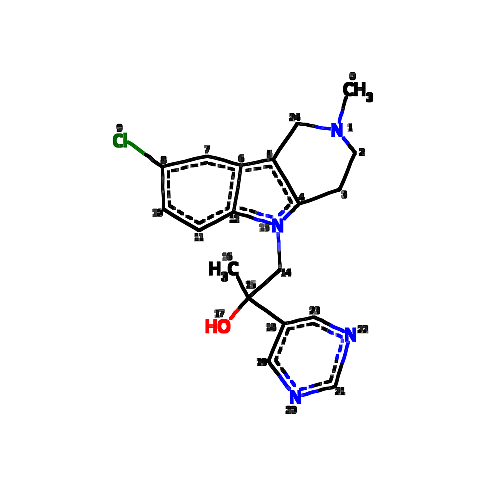 CN1CCc2c(c3cc(Cl)ccc3n2CC(C)(O)c2cncnc2)C1